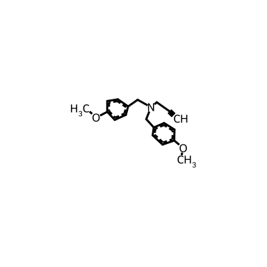 C#CCN(Cc1ccc(OC)cc1)Cc1ccc(OC)cc1